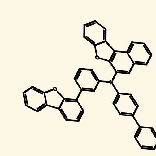 c1ccc(-c2ccc(N(c3cccc(-c4cccc5c4oc4ccccc45)c3)c3cc4ccccc4c4c3oc3ccccc34)cc2)cc1